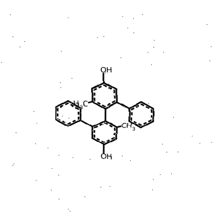 Cc1cc(O)cc(-c2ccccc2)c1-c1c(C)cc(O)cc1-c1ccccc1